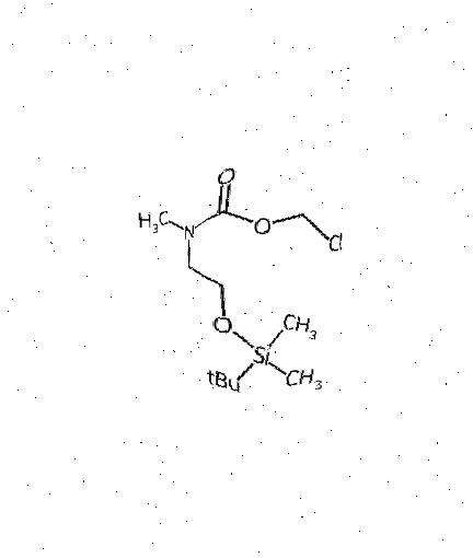 CN(CCO[Si](C)(C)C(C)(C)C)C(=O)OCCl